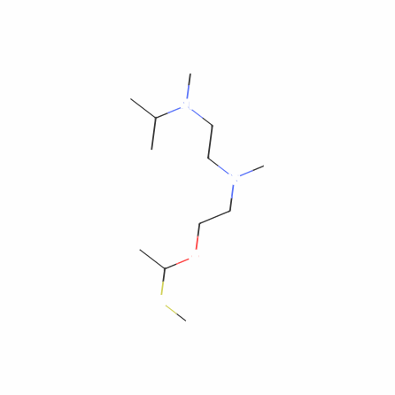 CSC(C)OCCN(C)CCN(C)C(C)C